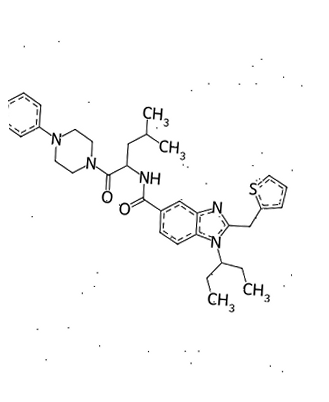 CCC(CC)n1c(Cc2cccs2)nc2cc(C(=O)NC(CC(C)C)C(=O)N3CCN(c4ccccc4)CC3)ccc21